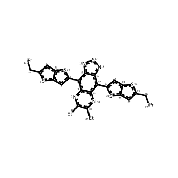 CCc1nc2c(-c3cc4sc(CC(C)C)cc4s3)c3nsnc3c(-c3cc4sc(CC(C)C)cc4s3)c2nc1CC